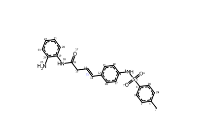 Cc1ccc(S(=O)(=O)Nc2ccc(/C=C/CC(=O)Nc3ccccc3N)cc2)cc1